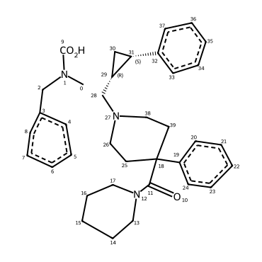 CN(Cc1ccccc1)C(=O)O.O=C(N1CCCCC1)C1(c2ccccc2)CCN(C[C@@H]2C[C@@H]2c2ccccc2)CC1